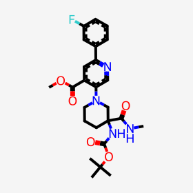 CNC(=O)C1(NC(=O)OC(C)(C)C)CCCN(c2cnc(-c3cccc(F)c3)cc2C(=O)OC)C1